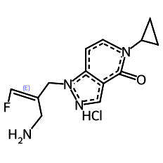 Cl.NC/C(=C\F)Cn1ncc2c(=O)n(C3CC3)ccc21